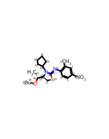 Cc1cc([N+](=O)[O-])ccc1/N=C1\SC[C@@H]([C@@H](C)OC(C)(C)C)N1C1CCCC1